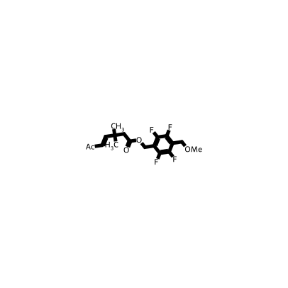 COCc1c(F)c(F)c(COC(=O)CC(C)(C)C=CC(C)=O)c(F)c1F